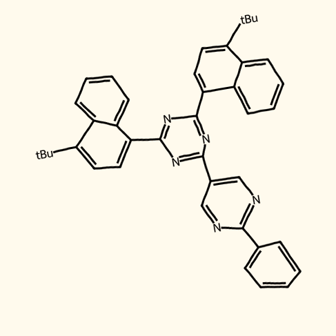 CC(C)(C)c1ccc(-c2nc(-c3cnc(-c4ccccc4)nc3)nc(-c3ccc(C(C)(C)C)c4ccccc34)n2)c2ccccc12